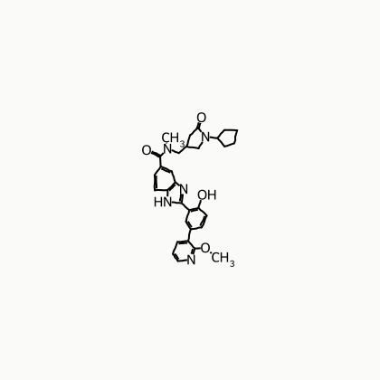 COc1ncccc1-c1ccc(O)c(-c2nc3cc(C(=O)N(C)CC4CC(=O)N(C5CCCC5)C4)ccc3[nH]2)c1